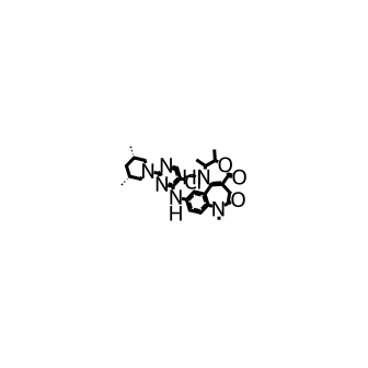 CC1NC2=C(C(=O)OC1C)C1OC1N(C)c1ccc(Nc3nc(N4C[C@H](C)C[C@H](C)C4)ncc3Cl)cc12